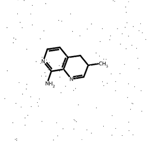 CC1C=Nc2c(ccnc2N)C1